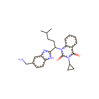 CC(C)CCC(c1nc2cc(CN)ccc2[nH]1)n1c(=O)n(C2CC2)c(=O)c2ccccc21